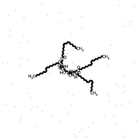 C=P(O)(OCC(O)COP(=O)(O)OCC(COC(=O)CCCCCC/C=C\C/C=C\CCCCCC)OC(=O)CCCCCC/C=C\C/C=C/CCCCCC)OCC(COC(=O)CCCCCC/C=C\C/C=C/CCCCCC)NC(=O)CCCCCC/C=C\C/C=C\CCCCCC